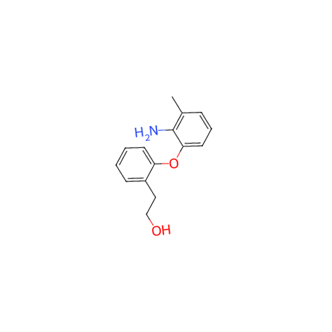 Cc1cccc(Oc2ccccc2CCO)c1N